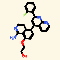 Nc1nccc2c(-c3cc(-c4ccccc4F)nc4ncccc34)ccc(OCCO)c12